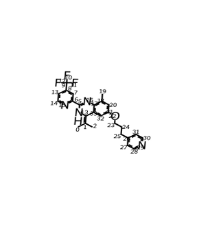 CC(C)=C1NC(c2cc(C(F)(F)F)ccn2)=Nc2c(C)cc(OCCCc3ccncc3)cc21